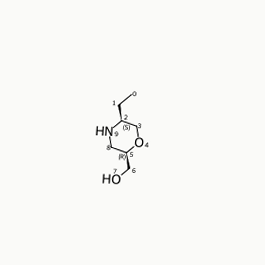 CC[C@H]1CO[C@@H](CO)CN1